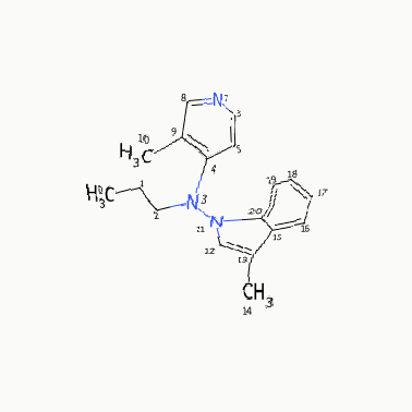 CCCN(c1ccncc1C)n1cc(C)c2ccccc21